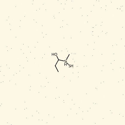 CCC(O)[SiH](C)S